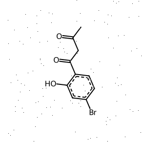 CC(=O)CC(=O)c1ccc(Br)cc1O